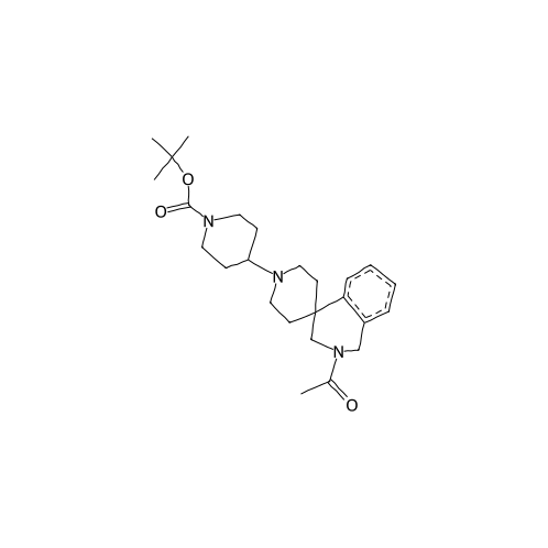 CC(=O)N1Cc2ccccc2C2(CCN(C3CCN(C(=O)OC(C)(C)C)CC3)CC2)C1